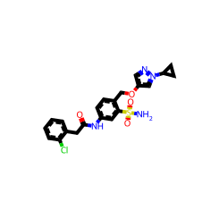 NS(=O)(=O)c1cc(NC(=O)Cc2ccccc2Cl)ccc1COc1cnn(C2CC2)c1